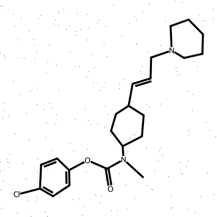 CN(C(=O)Oc1ccc(Cl)cc1)C1CCC(C=CCN2CCCCC2)CC1